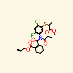 C=CCOC(=O)C1=C(C(=O)N(C(=O)CC)c2cc(SC(C)C(=O)OC)c(Cl)cc2F)CCCC1